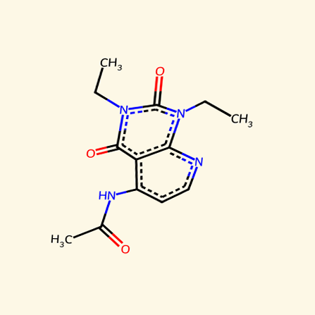 CCn1c(=O)c2c(NC(C)=O)ccnc2n(CC)c1=O